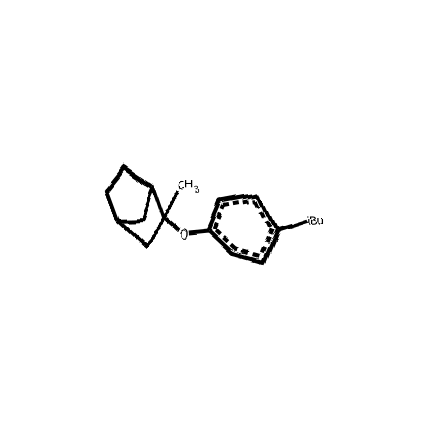 CCC(C)c1ccc(OC2(C)CC3CCC2C3)cc1